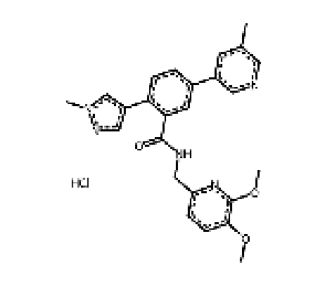 COc1ccc(CNC(=O)c2cc(-c3cncc(C)c3)ccc2-c2cnn(C)c2)nc1OC.Cl